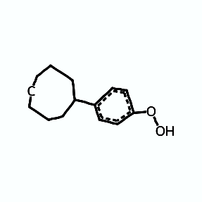 OOc1ccc(C2CCCCCCC2)cc1